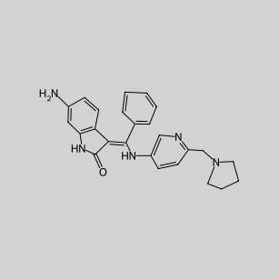 Nc1ccc2c(c1)NC(=O)/C2=C(\Nc1ccc(CN2CCCC2)nc1)c1ccccc1